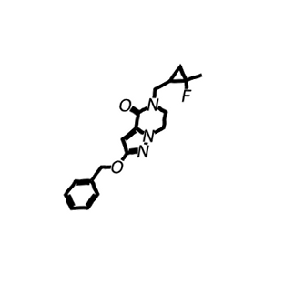 CC1(F)CC1CN1CCn2nc(OCc3ccccc3)cc2C1=O